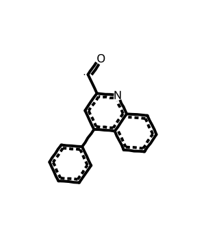 O=[C]c1cc(-c2ccccc2)c2ccccc2n1